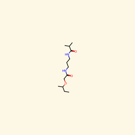 CCC(C)OCC(=O)NCCCNC(=O)C(C)C